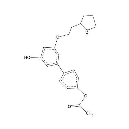 CC(=O)Oc1ccc(-c2[c]c(OCCC3CCCN3)cc(O)c2)cc1